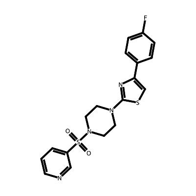 O=S(=O)(c1cccnc1)N1CCN(c2nc(-c3ccc(F)cc3)cs2)CC1